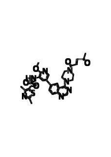 COc1ncc(-c2ccc3ncnc(N4CCN(C(=O)/C=C/C(C)=O)CC4)c3c2)cc1NS(=O)(=O)c1sc(C)nc1C